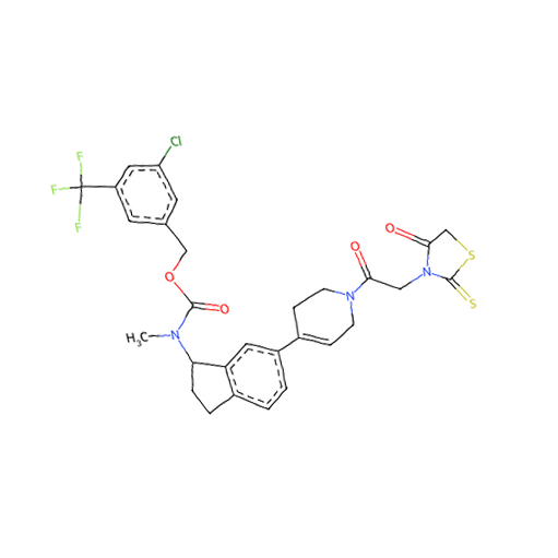 CN(C(=O)OCc1cc(Cl)cc(C(F)(F)F)c1)C1CCc2ccc(C3=CCN(C(=O)CN4C(=O)CSC4=S)CC3)cc21